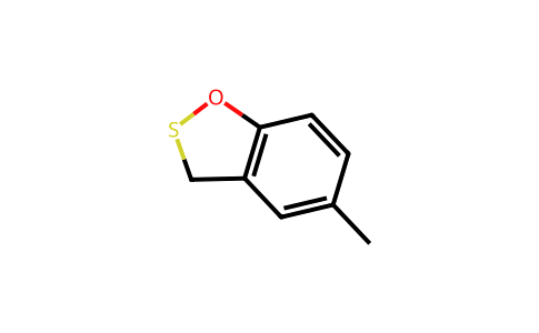 Cc1ccc2c(c1)CSO2